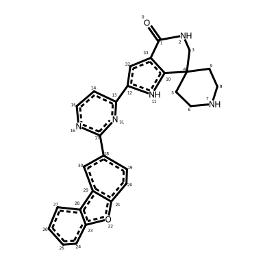 O=C1NCC2(CCNCC2)c2[nH]c(-c3ccnc(-c4ccc5oc6ccccc6c5c4)n3)cc21